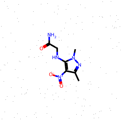 Cc1nn(C)c(NCC(N)=O)c1[N+](=O)[O-]